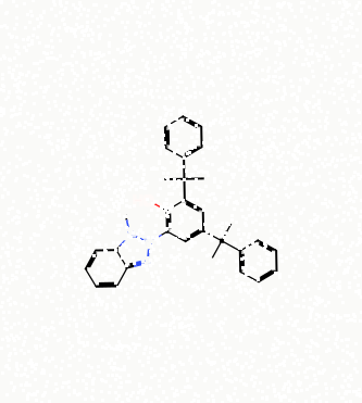 CN1C2C=CC=CC2=NN1c1cc(C(C)(C)c2ccccc2)cc(C(C)(C)c2ccccc2)c1O